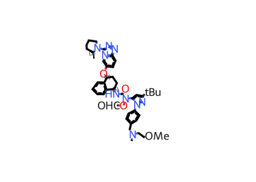 COCCN(C)Cc1ccc(-n2nc(C(C)(C)C)cc2N(OC=O)C(=O)N[C@H]2CC[C@@H](Oc3ccc4nnc(N5CCCC[C@@H]5C)n4c3)c3ccccc32)cc1